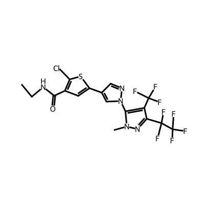 CCNC(=O)c1cc(-c2cnn(-c3c(C(F)(F)F)c(C(F)(F)C(F)(F)F)nn3C)c2)sc1Cl